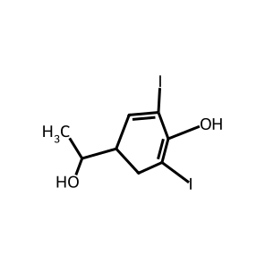 CC(O)C1C=C(I)C(O)=C(I)C1